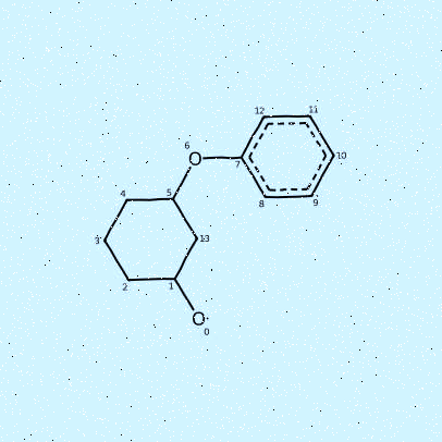 [O]C1CCCC(Oc2c[c]ccc2)C1